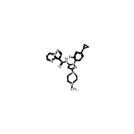 CN1CCN(c2cc(NC(=O)c3cnn4cccnc34)n(-c3ccc(C4CC4)cc3F)n2)CC1